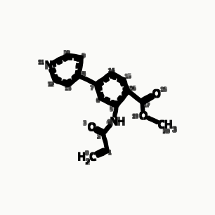 C=CC(=O)Nc1cc(-c2ccncc2)ccc1C(=O)OC